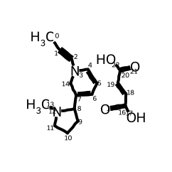 CC#CN1C=CC=C(C2CCCN2C)C1.O=C(O)C=CC(=O)O